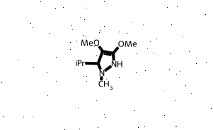 COC1=C(OC)C(C(C)C)N(C)N1